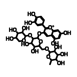 CC1OC(OCC2OC(Oc3cc4c(O)cc(O)cc4[o+]c3-c3ccc(O)c(O)c3)C(OC3OCC(O)C(O)C3O)C(O)C2O)C(O)C(O)C1O